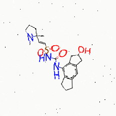 CN1CCC[C@]1(C)/C=C/S(=O)(=O)NC(=O)Nc1c2c(cc3c1CC(O)C3)CCC2